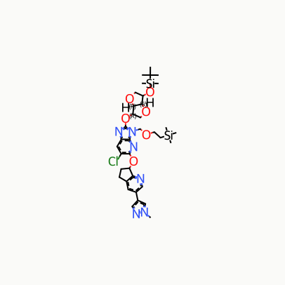 Cn1cc(-c2cnc3c(c2)CCC3Oc2nc3c(cc2Cl)nc(O[C@@H]2CO[C@@H]4C(O[Si](C)(C)C(C)(C)C)CO[C@@H]42)n3COCC[Si](C)(C)C)cn1